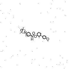 COc1ccc(-c2cccc(OC(=O)Nc3ccc(N4CC(C)OC(C)C4)nc3)c2C)cc1